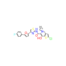 CN1Cc2cc(Cl)sc2C(O)=C1C(=O)Nc1nc(-c2ccc(-c3ccc(F)cc3)o2)cs1